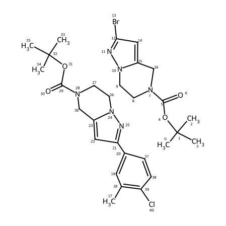 CC(C)(C)OC(=O)N1CCn2nc(Br)cc2C1.Cc1cc(-c2cc3n(n2)CCN(C(=O)OC(C)(C)C)C3)ccc1Cl